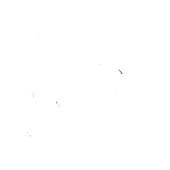 C=CC(=O)N1[C@H](c2cc(Cl)cc(-c3ncc(N)cn3)c2)COC[C@H]1C(F)F